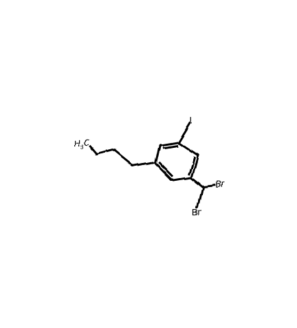 CCCCc1cc(I)cc(C(Br)Br)c1